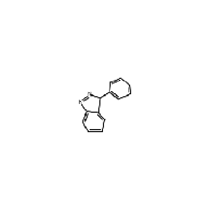 c1ccc(C2N=Nc3ccccc32)cc1